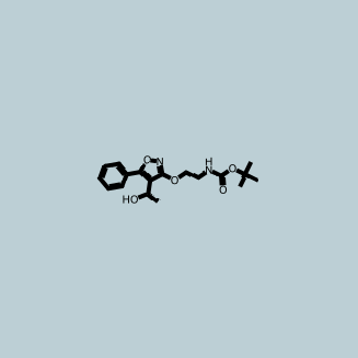 CC(O)c1c(OCCNC(=O)OC(C)(C)C)noc1-c1ccccc1